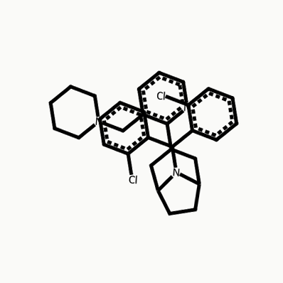 Clc1ccccc1C(c1ccccc1Cl)N1C2CCC1CC(c1ncccc1CN1CCCCC1)C2